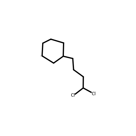 ClC(Cl)CCCC1C[CH]CCC1